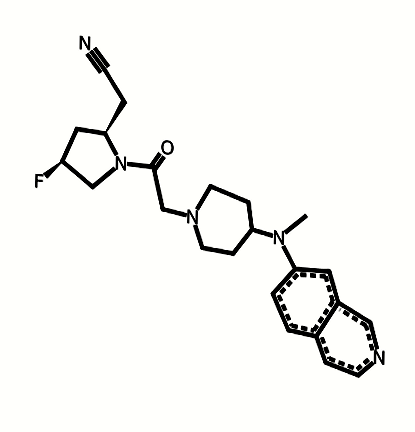 CN(c1ccc2ccncc2c1)C1CCN(CC(=O)N2C[C@@H](F)C[C@H]2CC#N)CC1